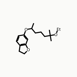 CCOC(C)(C)CCCC(C)Oc1ccc2c(c1)OCC2